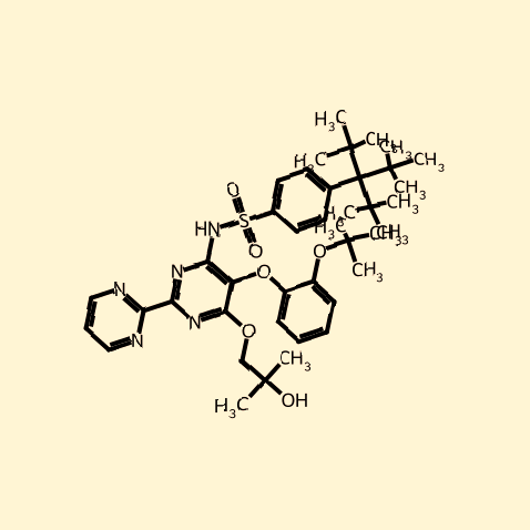 CC(C)(O)COc1nc(-c2ncccn2)nc(NS(=O)(=O)c2ccc(C(C(C)(C)C)(C(C)(C)C)C(C)(C)C)cc2)c1Oc1ccccc1OC(C)(C)C